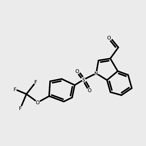 O=Cc1cn(S(=O)(=O)c2ccc(OC(F)(F)F)cc2)c2ccccc12